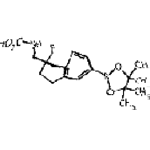 CC1(C)OB(c2ccc3c(c2)CCC3(F)CNC(=O)O)OC1(C)C